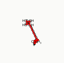 CN(C(=O)c1ccc(Cl)c(-c2cnc(C(F)(F)F)cc2C#N)c1)c1ccccc1OCCOCCOCCOCCOCCOCCOCCOCCOCCNC(=O)CN1CCN(CC(=O)O)CCN(CC(=O)O)CCN(CC(=O)O)CC1